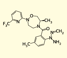 C=NN(N)c1ccc(C)cc1C(=O)N1CCN(c2cccc(C(F)(F)F)n2)OC[C@H]1C